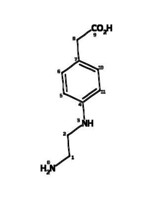 NCCNc1ccc(CC(=O)O)cc1